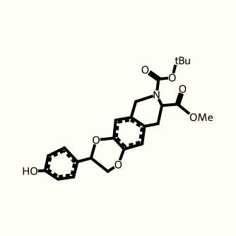 COC(=O)C1Cc2cc3c(cc2CN1C(=O)OC(C)(C)C)OC(c1ccc(O)cc1)CO3